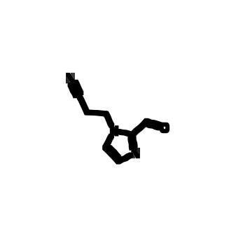 N#CCCn1ccnc1C=O